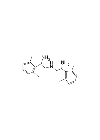 Cc1cccc(C)c1C(N)CNCC(N)c1c(C)cccc1C